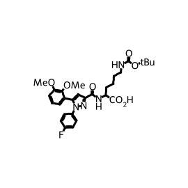 COc1cccc(-c2cc(C(=O)NC(CCCCNC(=O)OC(C)(C)C)C(=O)O)nn2-c2ccc(F)cc2)c1OC